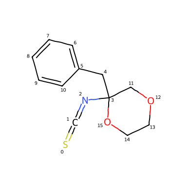 S=C=NC1(Cc2ccccc2)COCCO1